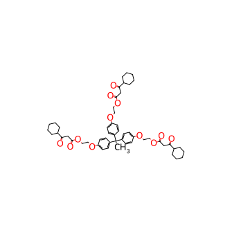 CC(c1ccc(OCCOC(=O)CC(=O)C2CCCCC2)cc1)(c1ccc(OCCOC(=O)CC(=O)C2CCCCC2)cc1)c1ccc(OCCOC(=O)CC(=O)C2CCCCC2)cc1